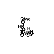 COc1ccc(CNc2ccc3c(n2)Oc2ccccc2C3C(C)(C)C(=O)Nc2nncs2)cc1